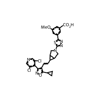 COc1cc(C(=O)O)cc(-c2nnc(N3CC4C(C=Cc5c(-c6c(Cl)cncc6Cl)noc5C5CC5)C4C3)s2)c1